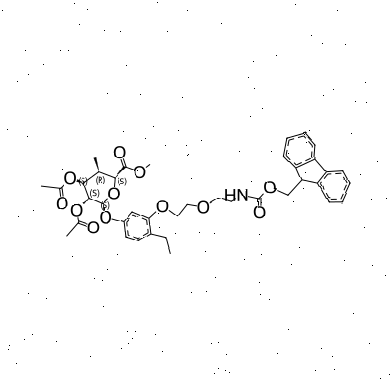 CCc1ccc(O[C@@H]2O[C@H](C(=O)OC)[C@H](C)[C@H](OC(C)=O)[C@@H]2OC(C)=O)cc1OCCOCCNC(=O)OCC1c2ccccc2-c2ccccc21